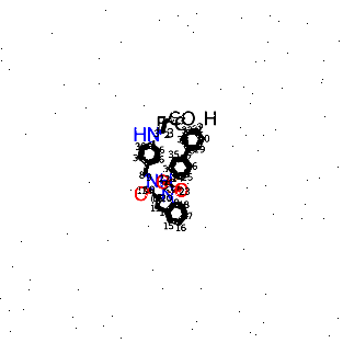 O=C(O)CCNc1ccc(CNC(=O)[C@@H]2Cc3ccccc3N2S(=O)(=O)c2ccc(-c3cccc(C(F)(F)F)c3)cc2)cc1